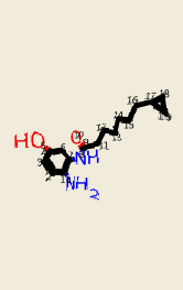 Nc1ccc(O)cc1NC(=O)CCCCCCC1CC1